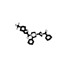 O=C(c1ccccc1)N1CC(N2CCN(C(=O)c3cc4cc(C(F)(F)F)ccc4s3)C(c3ccccc3)C2)C1